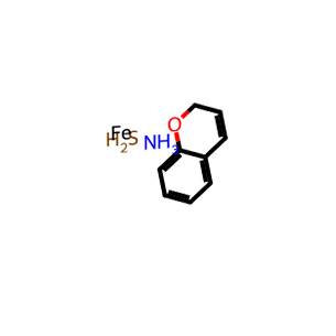 C1=Cc2ccccc2OC1.N.S.[Fe]